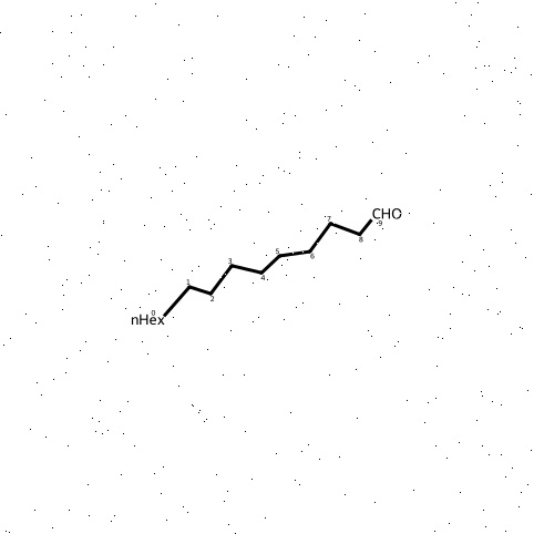 CCCCCCCCCCCCCCC=O